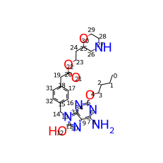 CCCCOc1nc(N)c2nc(O)n(Cc3ccc(CC(=O)OCCC4CNCCO4)cc3)c2n1